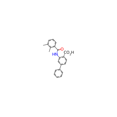 Cc1cccc(C(=O)Nc2cc(-c3ccccc3)ccc2C(=O)O)c1C